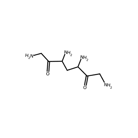 NCC(=O)C(N)CC(N)C(=O)CN